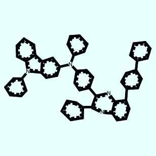 c1ccc(-c2ccc(-c3cccc4nc(-c5ccccc5)c(-c5ccc(N(c6ccccc6)c6ccc7c(c6)c6ccccc6n7-c6ccccc6)cc5)nc34)cc2)cc1